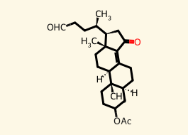 CC(=O)OC1CC[C@@]2(C)[C@@H](CCC3=C4C(=O)C[C@H]([C@H](C)CCC=O)[C@@]4(C)CC[C@@H]32)C1